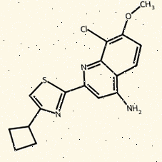 COc1ccc2c(N)cc(-c3nc(C4CCC4)cs3)nc2c1Cl